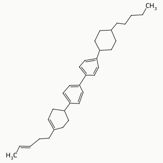 CC=CCCC1=CCC(c2ccc(-c3ccc(C4CCC(CCCCC)CC4)cc3)cc2)CC1